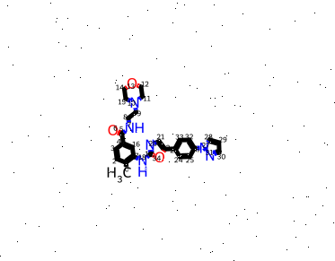 Cc1ccc(C(=O)NCCN2CCOCC2)cc1Nc1ncc(-c2ccc(-n3cccn3)cc2)o1